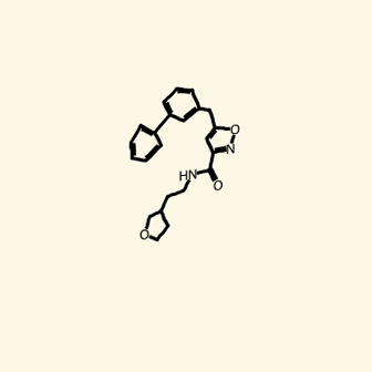 O=C(NCCC1CCOC1)c1cc(Cc2cccc(-c3ccccc3)c2)on1